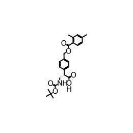 Cc1ccc(C(=O)OCc2ccc([C@@H](CNC(=O)OC(C)(C)C)C(=O)O)cc2)c(C)c1